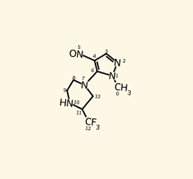 Cn1ncc(N=O)c1N1CCNC(C(F)(F)F)C1